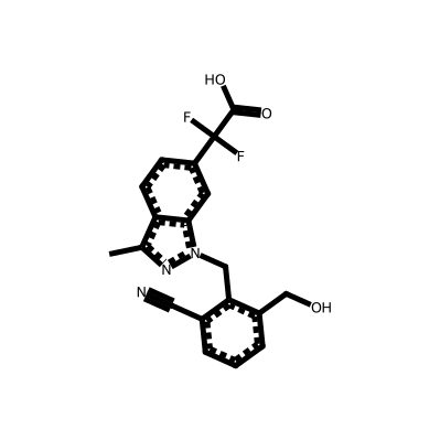 Cc1nn(Cc2c(C#N)cccc2CO)c2cc(C(F)(F)C(=O)O)ccc12